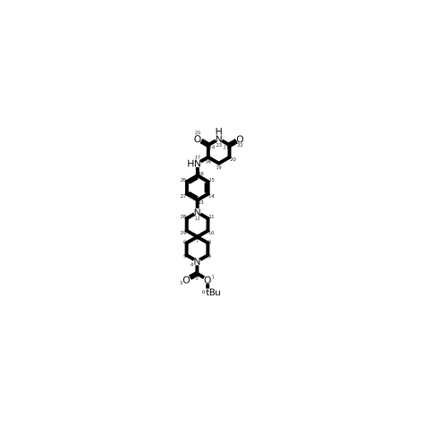 CC(C)(C)OC(=O)N1CCC2(CC1)CCN(c1ccc(NC3CCC(=O)NC3=O)cc1)CC2